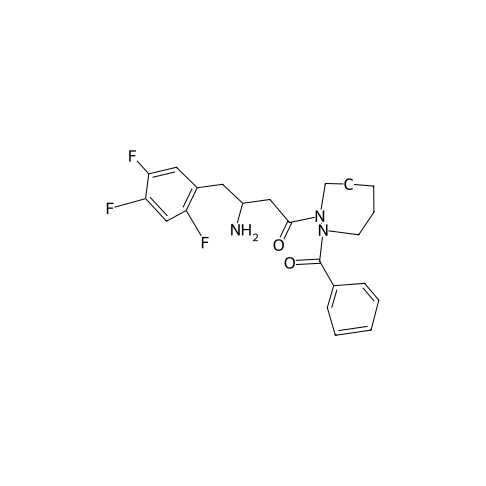 NC(CC(=O)N1CCCCCN1C(=O)c1ccccc1)Cc1cc(F)c(F)cc1F